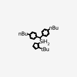 CCCCc1ccc(C([SiH2]C2=C(C(C)(C)C)C=CC2)c2ccc(CCCC)cc2)cc1